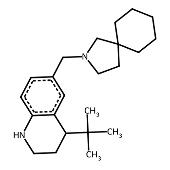 CC(C)(C)C1CCNc2ccc(CN3CCC4(CCCCC4)C3)cc21